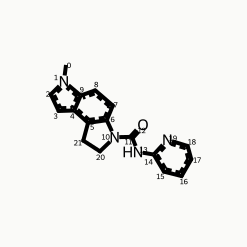 Cn1ccc2c3c(ccc21)N(C(=O)Nc1ccccn1)CC3